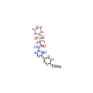 COc1ccc(-c2nnc(NC(=O)C(C)(C)S(=O)(=O)C3CCOCC3)[nH]2)cc1